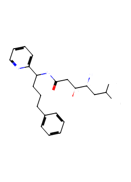 CC(C)C[C@H](N)[C@@H](O)CC(=O)NC(CCCc1ccccc1)c1ccccn1